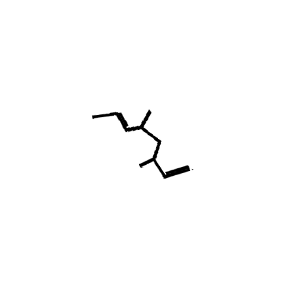 [CH]=CC(C)CC(C)C=CC